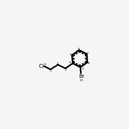 ClCCCc1ccccc1Br